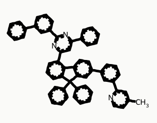 Cc1ccnc(-c2cccc(-c3ccc4c(c3)C(c3ccccc3)(c3ccccc3)c3cccc(-c5cc(-c6ccccc6)nc(-c6cccc(-c7ccccc7)c6)n5)c3-4)c2)c1